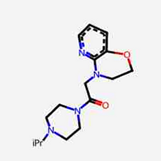 CC(C)N1CCN(C(=O)CN2CCOc3cccnc32)CC1